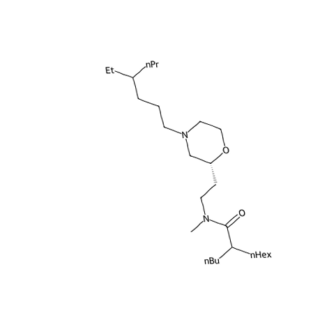 CCCCCCC(CCCC)C(=O)N(C)CC[C@@H]1CN(CCCC(CC)CCC)CCO1